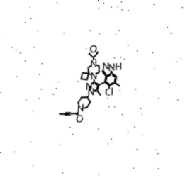 CC#CC(=O)N1CCC(n2nc(N3CCN(C4COC4)CC34CCC4)c(-c3c(Cl)c(C)cc4[nH]ncc34)c2C)CC1